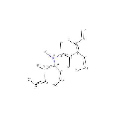 C=C/C(C)=C(\C=C/C)C(/C)=C(\C)N(C)C(/C=C\C)=C(C)/C=C\C